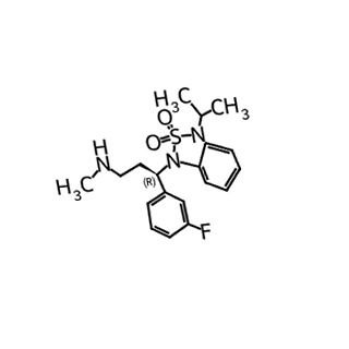 CNCC[C@H](c1cccc(F)c1)N1c2ccccc2N(C(C)C)S1(=O)=O